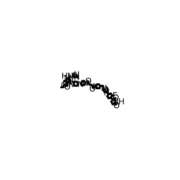 CCOC(=O)c1c(C)nc(Nc2cnn(C)c2)nc1NC1CCC(N2CCN(C(=O)CCC(=O)N3CCC(CN4CCN(c5ccc(C6CCC(=O)NC6=O)c(F)c5)CC4)CC3)CC2)CC1